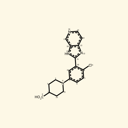 O=C(O)C1CCN(c2ccc(Cl)c(-c3nc4ccncc4[nH]3)c2)CC1